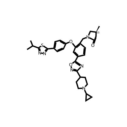 CC(C)c1nnc(-c2ccc(Oc3cc(-c4nc(C5CCN(C6CC6)CC5)no4)ccc3CN3C[C@@H](C)CC3=O)cc2)s1